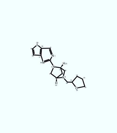 [c]1nc(N2C[C@@H]3C[C@H]2CN3CC2CCCO2)nc2ccsc12